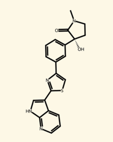 CN1CC[C@@](O)(c2cccc(-c3csc(-c4c[nH]c5ncccc45)n3)c2)C1=O